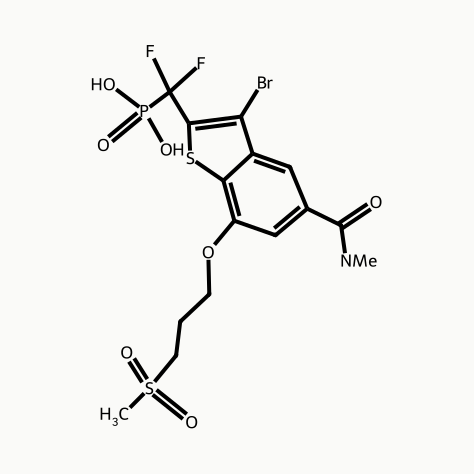 CNC(=O)c1cc(OCCCS(C)(=O)=O)c2sc(C(F)(F)P(=O)(O)O)c(Br)c2c1